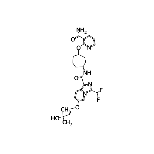 CC(C)(O)CCOc1ccc2c(C(=O)N[C@H]3CCCC(Oc4ncccc4C(N)=O)CC3)nc(C(F)F)n2c1